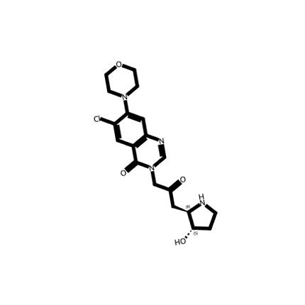 O=C(C[C@H]1NCC[C@@H]1O)Cn1cnc2cc(N3CCOCC3)c(Cl)cc2c1=O